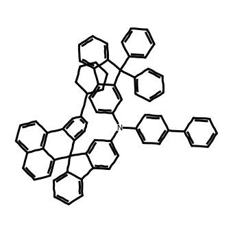 c1ccc(-c2ccc(N(c3ccc4c(c3)C(c3ccccc3)(c3ccccc3)c3ccccc3-4)c3ccc4c(c3)C3(c5ccccc5-4)c4ccc(C5CCCCC5)cc4-c4cccc5cccc3c45)cc2)cc1